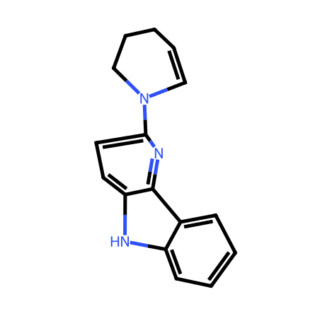 C1=CN(c2ccc3[nH]c4ccccc4c3n2)CCC1